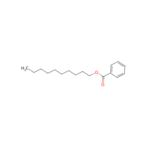 CCCCCCCCCCOC(=O)c1cc[c]cc1